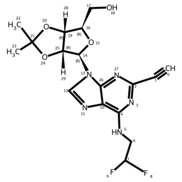 C#Cc1nc(NCC(F)F)c2ncn([C@@H]3O[C@H](CO)[C@H]4OC(C)(C)O[C@H]43)c2n1